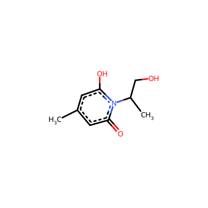 Cc1cc(O)n(C(C)CO)c(=O)c1